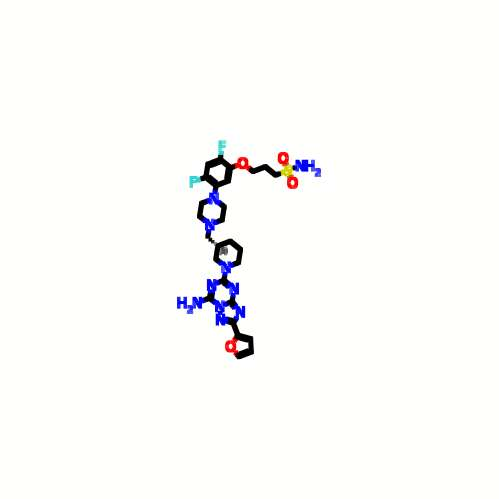 Nc1nc(N2CCC[C@@H](CN3CCN(c4cc(OCCCS(N)(=O)=O)c(F)cc4F)CC3)C2)nc2nc(-c3ccco3)nn12